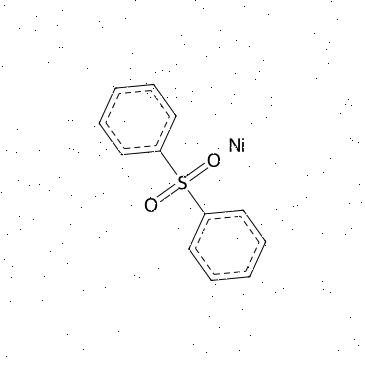 O=S(=O)(c1ccccc1)c1ccccc1.[Ni]